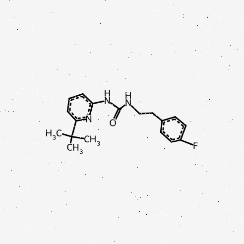 CC(C)(C)c1cccc(NC(=O)NCCc2ccc(F)cc2)n1